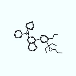 CCCOC(CC)(CC)c1cc(-c2cc(N(c3ccccc3)c3ccccc3)cc3ccccc23)ccc1CCC